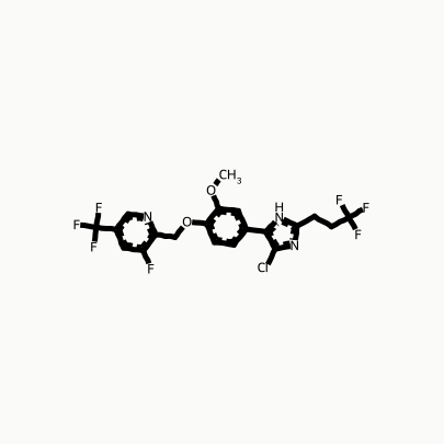 COc1cc(-c2[nH]c(CCC(F)(F)F)nc2Cl)ccc1OCc1ncc(C(F)(F)F)cc1F